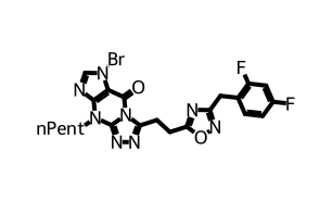 CCCCCn1c2ncn(Br)c2c(=O)n2c(CCc3nc(Cc4ccc(F)cc4F)no3)nnc12